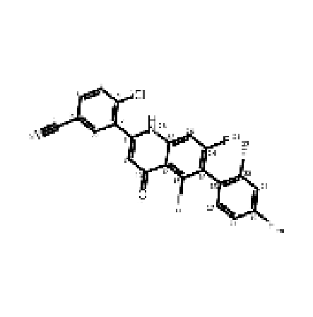 N#Cc1ccc(Cl)c(-c2cc(=O)c3c(F)c(-c4ccc(F)cc4F)c(F)cc3[nH]2)c1